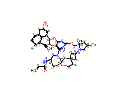 C#Cc1c(F)ccc2cc(O)cc(C3COc4c(nc(OC[C@]5(C)C[C@@H](F)CN5C5CC6(CCOCC6)C5)nc4N4CCCCC(NC(=O)C=C)C4)O3)c12